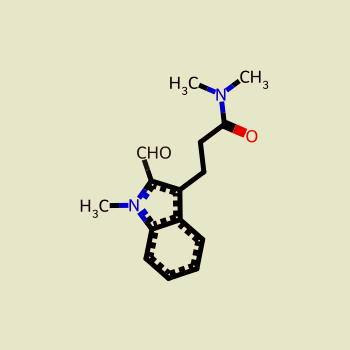 CN(C)C(=O)CCc1c(C=O)n(C)c2ccccc12